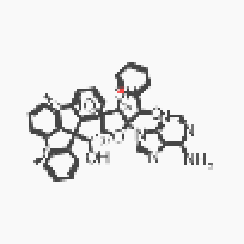 COc1ccccc1C(c1ccccc1)(c1ccccc1OC)C(O)[C@H]1O[C@@](C(=O)c2ccccc2)(n2cnc3c(N)ncnc32)[C@H](O)[C]1O